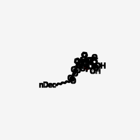 CCCCCCCCCCCCCCCCCC1OCC(COC(=O)O[C@@H](C(=O)O[C@H]2C[C@@]3(O)[C@@H](OC(=O)c4ccccc4)[C@H]4[C@](C)(C(=O)[C@H](O)C(=C2C)C3(C)C)[C@@H](O)C[C@@]2(C)OC[C@@]42OC(C)=O)[C@@H](C)c2ccccc2)O1